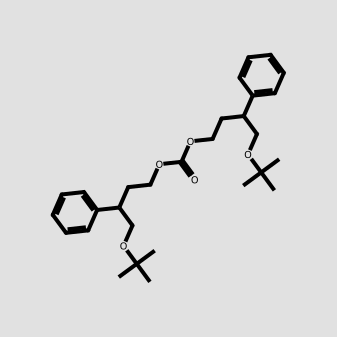 CC(C)(C)OCC(CCOC(=O)OCCC(COC(C)(C)C)c1ccccc1)c1ccccc1